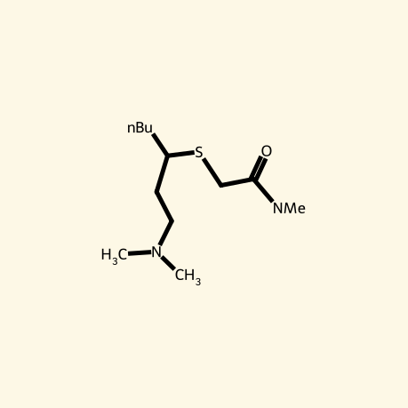 CCCCC(CCN(C)C)SCC(=O)NC